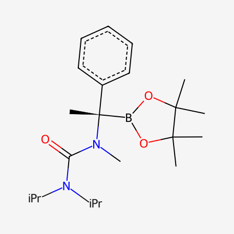 CC(C)N(C(=O)N(C)[C@@](C)(B1OC(C)(C)C(C)(C)O1)c1ccccc1)C(C)C